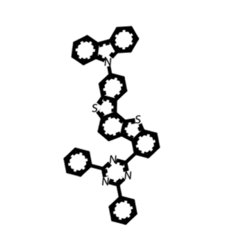 c1ccc(-c2nc(-c3ccccc3)nc(-c3cccc4sc5c(ccc6sc7cc(-n8c9ccccc9c9ccccc98)ccc7c65)c34)n2)cc1